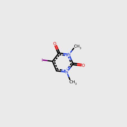 Cn1cc(I)c(=O)n(C)c1=O